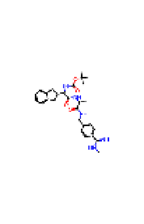 CNC(=N)c1ccc(CNC(=O)[C@H](C)NC(=O)[C@H](NC(=O)OC(C)(C)C)C2Cc3ccccc3C2)cc1